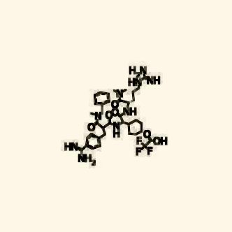 CN(C)C(=O)[C@H](CCCNC(=N)N)NC(=O)C(NC(=O)C(Cc1ccc(C(=N)N)cc1)C(=O)N(C)Cc1ccccc1)C1CCCCC1.O=C(O)C(F)(F)F